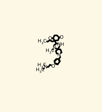 CCCCC1(C2CN(C)C3(CCN(Cc4ccc(OCCN(C)C)cc4)CC3)CN2)CC(=O)CCC1=O